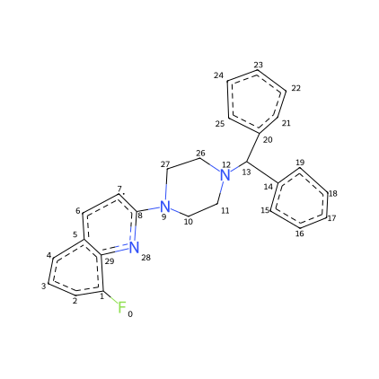 Fc1cccc2c[c]c(N3CCN(C(c4ccccc4)c4ccccc4)CC3)nc12